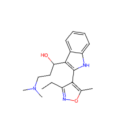 CCc1noc(C)c1-c1[nH]c2ccccc2c1C(O)CCN(C)C